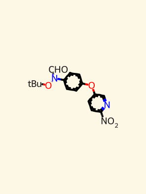 CC(C)(C)ON(C=O)c1ccc(Oc2ccc([N+](=O)[O-])nc2)cc1